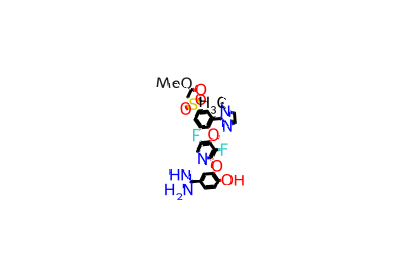 COC(=O)CS(=O)(=O)c1ccc(Oc2c(F)cnc(Oc3cc(C(=N)N)ccc3O)c2F)c(C2N=CCN2C)c1